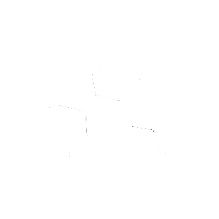 Cc1c(N)c(C(=O)O)cc(F)c1Br